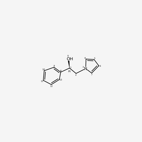 O[C@@H](Cn1cccc1)c1ccccc1